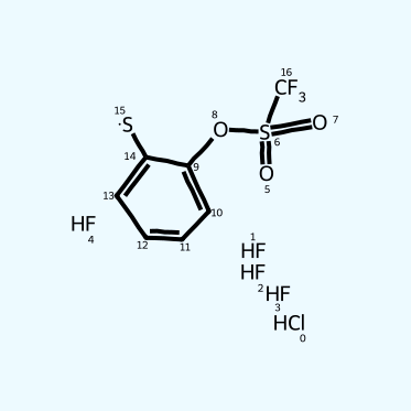 Cl.F.F.F.F.O=S(=O)(Oc1ccccc1[S])C(F)(F)F